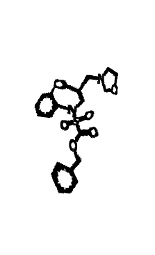 O=C(OCc1ccccc1)S(=O)(=O)N1C[C@H](CN2CCOC2)Oc2ccccc21